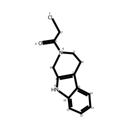 O=C(CCl)N1CCc2c([nH]c3ccccc23)C1